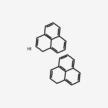 C1=Cc2cccc3cccc(c23)C1.C1=Cc2cccc3cccc(c23)C1.I